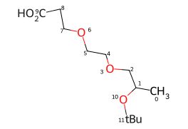 CC(COCCOCCC(=O)O)OC(C)(C)C